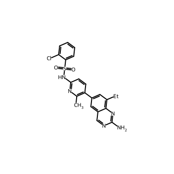 CCc1cc(-c2ccc(NS(=O)(=O)c3ccccc3Cl)nc2C)cc2cnc(N)nc12